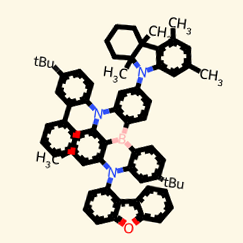 Cc1cc2c3c(c1)N(c1cccc4oc5ccccc5c14)c1cc(C(C)(C)C)ccc1B3c1ccc(N3c4cc(C)cc(C)c4C4(C)CCCCC34C)cc1N2c1ccc(C(C)(C)C)cc1-c1ccccc1